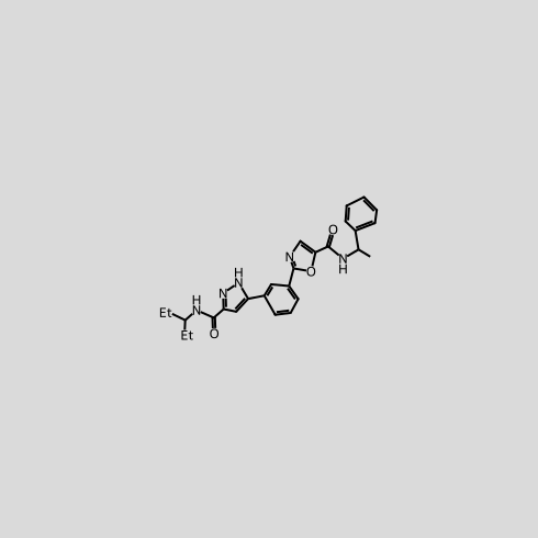 CCC(CC)NC(=O)c1cc(-c2cccc(-c3ncc(C(=O)NC(C)c4ccccc4)o3)c2)[nH]n1